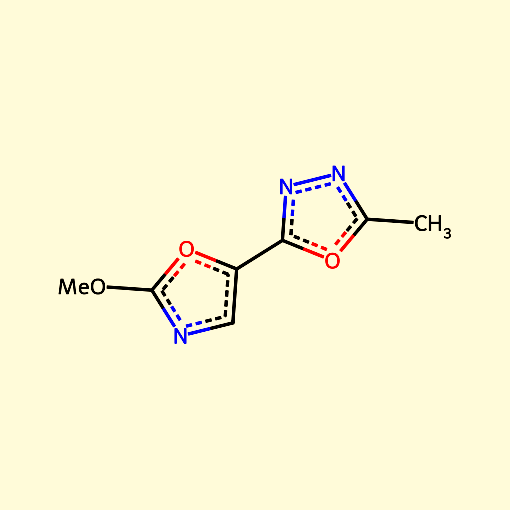 COc1ncc(-c2nnc(C)o2)o1